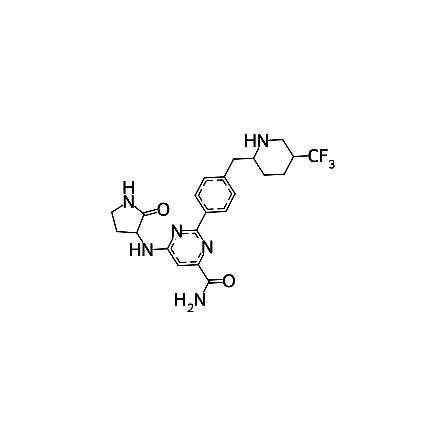 NC(=O)c1cc(NC2CCNC2=O)nc(-c2ccc(CC3CCC(C(F)(F)F)CN3)cc2)n1